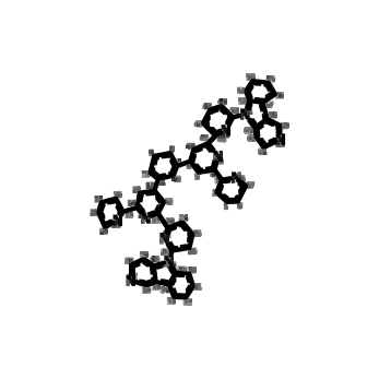 c1ccc(-c2cc(-c3cccc(-c4cc(-c5ccccn5)nc(-c5cccc(-n6c7ccccc7c7cnccc76)n5)c4)c3)cc(-c3cccc(-n4c5ccccc5c5cnccc54)n3)n2)nc1